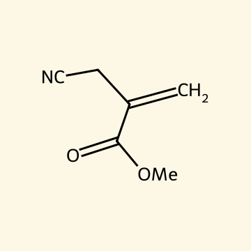 C=C(CC#N)C(=O)OC